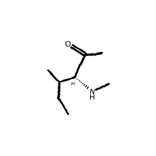 CCC(C)[C@@H](NC)C(C)=O